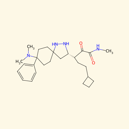 CNC(=O)C(=O)C(CCC1CCC1)[C@@H]1CC2(CCC(c3ccccc3)(N(C)C)CC2)NN1